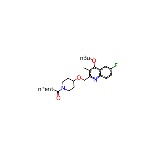 CCCCCC(=O)N1CCC(OCc2nc3ccc(F)cc3c(OCCCC)c2C)CC1